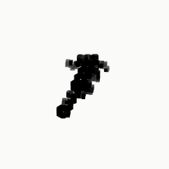 CN(C)[C@@H]1C(O)=C(C(N)=O)C(=O)C2(O)C(O)=C3C(=O)c4c(ccc(NC(=O)CNCc5ccccn5)c4O)CC3CC12.Cl.Cl